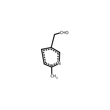 Cc1ccc(CC=O)cn1